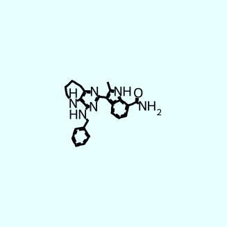 Cc1[nH]c2c(C(N)=O)cccc2c1-c1nc2c(c(NCc3ccccc3)n1)NCCCC2